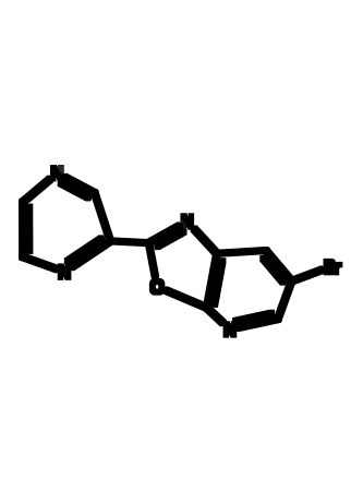 Brc1cnc2oc(-c3cnccn3)nc2c1